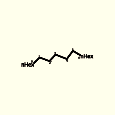 [CH2]CCCCCC[CH]CCCCCCCCC